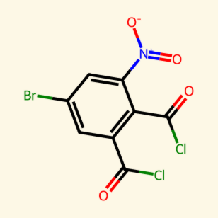 O=C(Cl)c1cc(Br)cc([N+](=O)[O-])c1C(=O)Cl